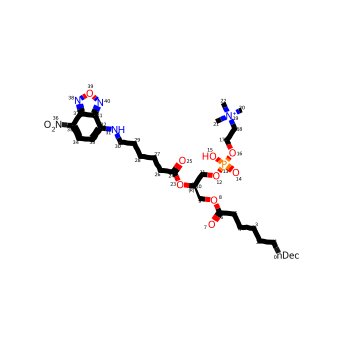 CCCCCCCCCCCCCCCC(=O)OC[C@H](COP(=O)(O)OCC[N+](C)(C)C)OC(=O)CCCCCNc1ccc([N+](=O)[O-])c2nonc12